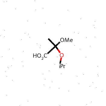 COC(C)(OC(C)C)C(=O)O